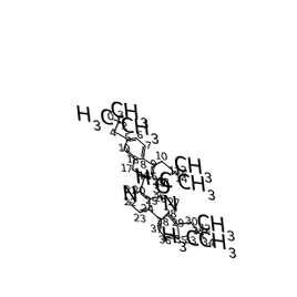 CC(C)(C)Cc1ccc2c(CC(C)(C)C)c3c(cc2c1)-c1nccc2c1c(nc1c(CC(C)(C)C)cccc12)O3